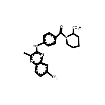 Cc1nc2ccc(C(F)(F)F)cc2nc1Nc1ccc(C(=O)N2CCCCC2C(=O)O)cc1